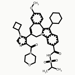 COc1ccc2c(c1)C=C(c1c(C(=O)N3CCOCC3)ncn1C1CCC1)Cn1c-2c(C2CCCCC2)c2ccc(C(=O)NS(=O)(=O)C(C)C)cc21